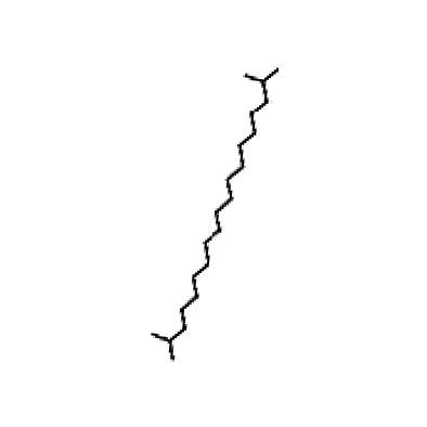 CC(C)[CH]CCCCCCCCCCCCCCC(C)C